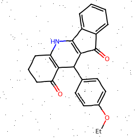 CCOc1ccc(C2C3=C(CCCC3=O)NC3=C2C(=O)c2ccccc23)cc1